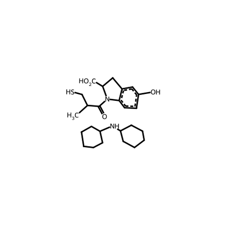 C1CCC(NC2CCCCC2)CC1.CC(CS)C(=O)N1c2ccc(O)cc2CC1C(=O)O